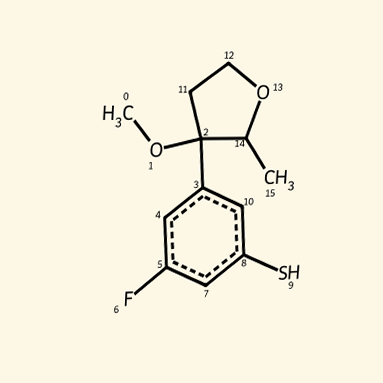 COC1(c2cc(F)cc(S)c2)CCOC1C